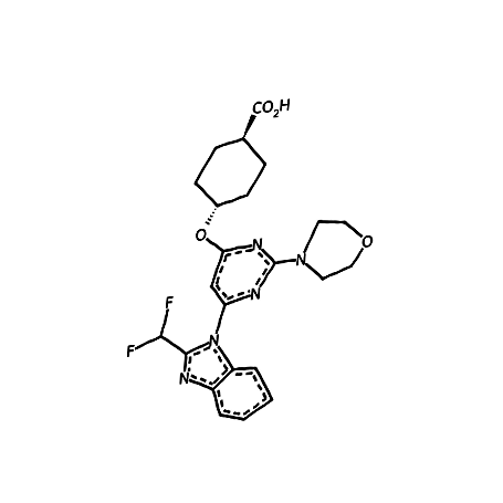 O=C(O)[C@H]1CC[C@H](Oc2cc(-n3c(C(F)F)nc4ccccc43)nc(N3CCOCC3)n2)CC1